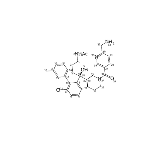 CC(=O)NCCC[C@@](O)(c1cccc(Cl)c1-c1cccc(C)c1)[C@@H]1CCCN(C(=O)c2ccc(CN)nc2)C1